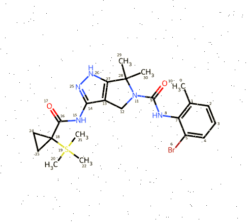 Cc1cccc(Br)c1NC(=O)N1Cc2c(NC(=O)C3(S(C)(C)C)CC3)n[nH]c2C1(C)C